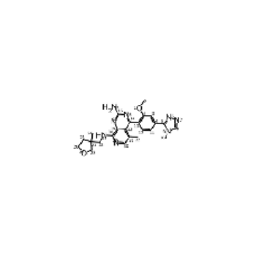 COc1cc(-c2nncn2C)ccc1-c1nc(N)nc2c(NCC3(C)CCOC3)ncc(C)c12